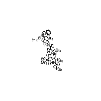 CCCCC(NC(=O)[C@@H]1[C@@H]2[C@H](CN1C(=O)[C@@H](NC(=O)OC(C)(C)C)C(C)(C)C)C2(Br)Br)C(=O)C(=O)NCC(=O)N[C@H](C(=O)N(C)C)c1ccccc1